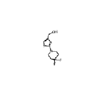 OCc1csc(N2CCC(F)(F)CC2)n1